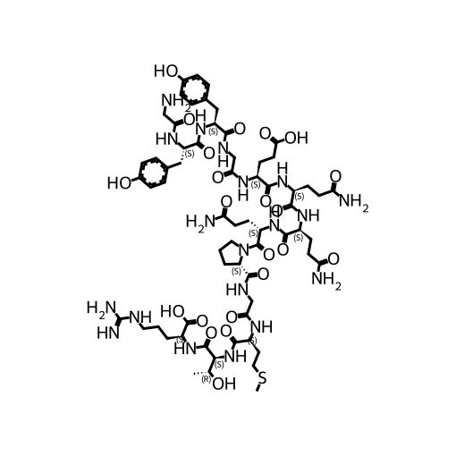 CSCC[C@H](NC(=O)CNC(=O)[C@@H]1CCCN1C(=O)[C@H](CCC(N)=O)NC(=O)[C@H](CCC(N)=O)NC(=O)[C@H](CCC(N)=O)NC(=O)[C@H](CCC(=O)O)NC(=O)CNC(=O)[C@H](Cc1ccc(O)cc1)NC(=O)[C@H](Cc1ccc(O)cc1)NC(=O)CN)C(=O)N[C@H](C(=O)N[C@@H](CCCNC(=N)N)C(=O)O)[C@@H](C)O